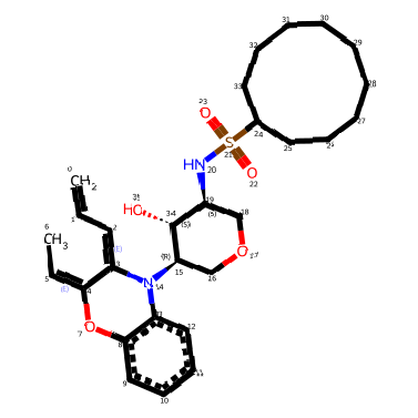 C=C/C=C1\C(=C/C)Oc2ccccc2N1[C@@H]1COC[C@H](NS(=O)(=O)C2CCCCCCCCC2)[C@H]1O